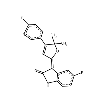 CC1(C)O/C(=C2/C(=O)Nc3ccc(F)cc32)C=C1c1ccc(F)nc1